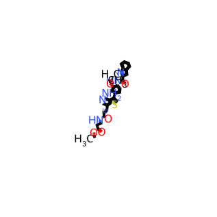 CCOC(=O)CCNC(=O)/C=C/c1cnc(N)c2c(-c3ccc(NC(=O)c4cc5ccccc5n4C)c(OC)c3)csc12